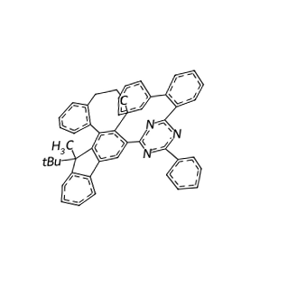 CC(C)(C)C1(C)c2ccccc2-c2cc(-c3nc(-c4ccccc4)nc(-c4ccccc4-c4ccccc4)n3)c3c(c21)-c1ccccc1CCCC3